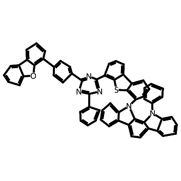 c1ccc(-c2nc(-c3ccc(-c4cccc5c4oc4ccccc45)cc3)nc(-c3cccc4c3sc3c(-n5c6ccccc6c6ccc7c8ccccc8n(-c8ccccc8)c7c65)cccc34)n2)cc1